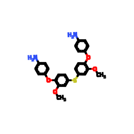 COc1cc(Sc2ccc(Oc3ccc(N)cc3)c(OC)c2)ccc1Oc1ccc(N)cc1